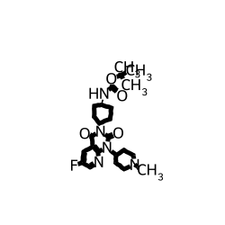 CN1CCC(n2c(=O)n([C@H]3CC[C@@H](NC(=O)OC(C)(C)C)CC3)c(=O)c3cc(F)cnc32)CC1